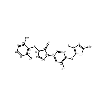 Cc1nc(Br)sc1Oc1ncc(-n2ncn(Cc3c(F)cccc3F)c2=O)cc1F